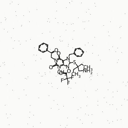 CCC(CC)(CN)SC1N(Cc2ccccc2)c2c(n(C)c(=O)n(CC(=O)c3ccccc3)c2=O)N1OC(=O)C(F)(F)F